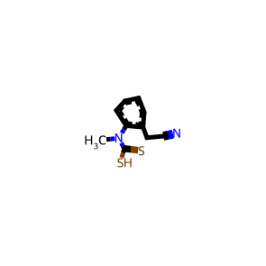 CN(C(=S)S)c1ccccc1CC#N